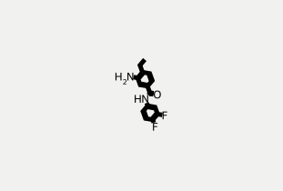 CCc1ccc(C(=O)Nc2ccc(F)c(F)c2)cc1N